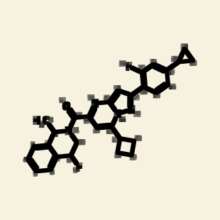 CC1c2ccccc2C(F)CN1C(=O)c1cc(C2CCC2)n2nc(-c3ccc(C4CC4)cc3F)cc2n1